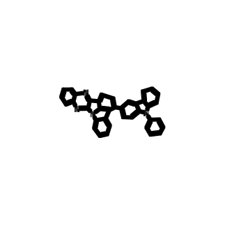 c1ccc(-n2c3ccccc3c3cc(-c4ccc5c6nc7ccccc7nc6n6c7ccccc7c4c56)ccc32)cc1